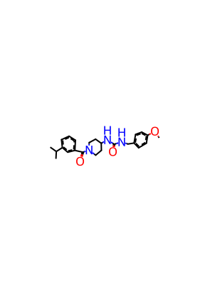 COc1ccc(CNC(=O)NC2CCN(C(=O)c3cccc(C(C)C)c3)CC2)cc1